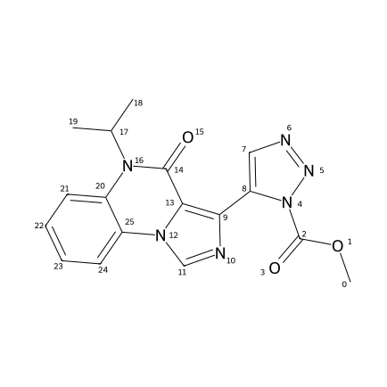 COC(=O)n1nncc1-c1ncn2c1c(=O)n(C(C)C)c1ccccc12